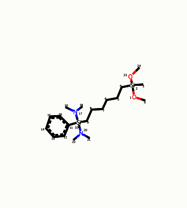 CO[Si](C)(CCCCCC[Si](c1ccccc1)(N(C)C)N(C)C)OC